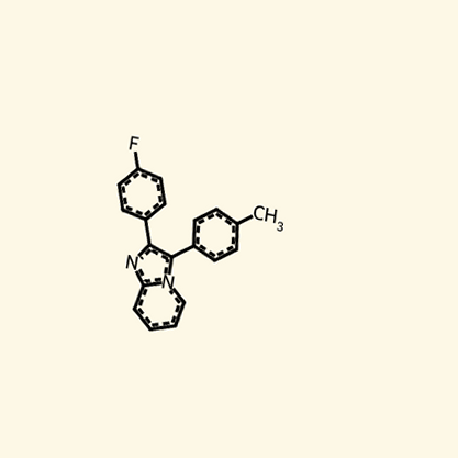 Cc1ccc(-c2c(-c3ccc(F)cc3)nc3ccccn23)cc1